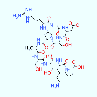 C[C@H](NC(=O)[C@@H]1CCCN1C(=O)[C@H](CO)NC(=O)[C@H](CC(=O)O)NC(=O)CNC(=O)[C@@H](N)CCCNC(=N)N)C(=O)N[C@@H](CO)C(=O)N[C@@H](CO)C(=O)N[C@@H](CCCCN)C(=O)N1CCC[C@H]1C(=O)O